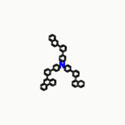 C1=Cc2cccc(-c3cccc(-c4ccc(N(c5ccc(-c6cccc(-c7ccc8ccccc8c7)c6)cc5)c5ccc(-c6cccc(-c7cc8ccccc8c8ccccc78)c6)cc5)cc4)c3)c2CC1